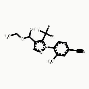 CCOC(O)c1cnn(-c2ccc(C#N)cc2C)c1C(F)(F)F